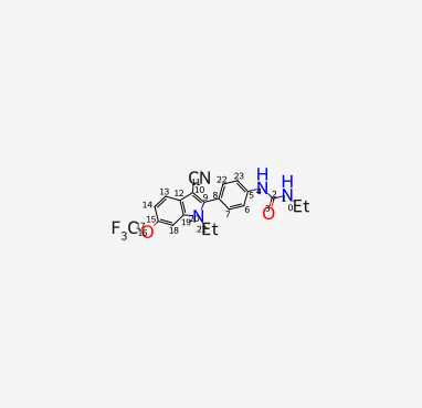 CCNC(=O)Nc1ccc(-c2c(C#N)c3ccc(OC(F)(F)F)cc3n2CC)cc1